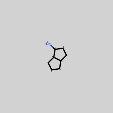 NC1CCC2CCCC12